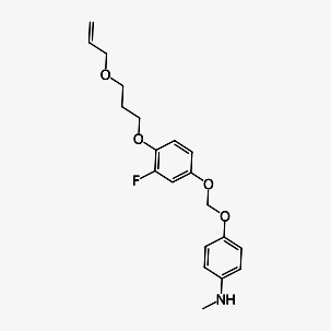 C=CCOCCCOc1ccc(OCOc2ccc(NC)cc2)cc1F